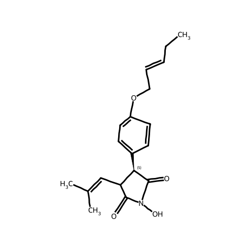 CCC=CCOc1ccc([C@H]2C(=O)N(O)C(=O)C2C=C(C)C)cc1